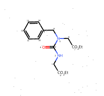 CCOC(=O)CNC(=O)N(CC(=O)OCC)Cc1ccccc1